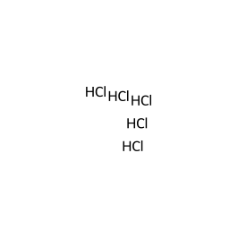 Cl.Cl.Cl.Cl.Cl